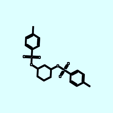 Cc1ccc(S(=O)(=O)OC2CCCC(OS(=O)(=O)c3ccc(C)cc3)C2)cc1